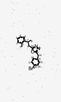 Cc1ccccc1C(C)Cc1nnc(Cc2ccc(Br)cc2)o1